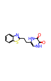 O=c1[nH]cc(CCc2nc3ccccc3s2)[nH]c1=O